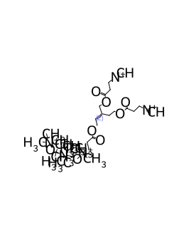 C#[N+]CCC(=O)OCC/C(=C\COC(=O)CC[N+](C)(C)OC(C)(C)[N+](C)(C)C(C)(C)O[N+](C)(C)C)COC(=O)CC[N+]#C